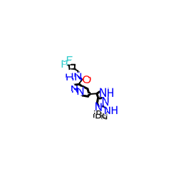 CC[C@H](C)Nc1ncc2c(-c3ccn4ncc(C(=O)NCC5CC(F)(F)C5)c4c3)c[nH]c2n1